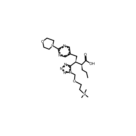 CCC[C@H](C(=O)O)[C@H](Cc1cnc(N2CCOCC2)nc1)c1nnnn1COCC[Si](C)(C)C